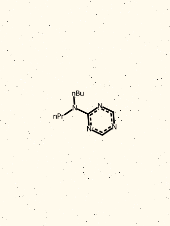 CCCCN(CCC)c1n[c]ncn1